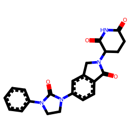 O=C1CCC(N2Cc3cc(N4CCN(c5ccccc5)C4=O)ccc3C2=O)C(=O)N1